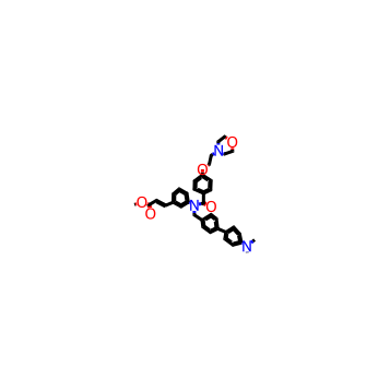 COC(=O)/C=C/c1cccc(N(Cc2ccc(-c3ccc(N(C)C)cc3)cc2)C(=O)c2ccc(OCCN3CCOCC3)cc2)c1